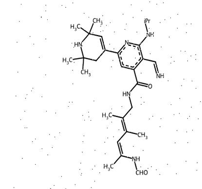 C/C(=C/C(C)=C(\C)CNC(=O)c1cc(C2=CC(C)(C)NC(C)(C)C2)nc(NC(C)C)c1C=N)NC=O